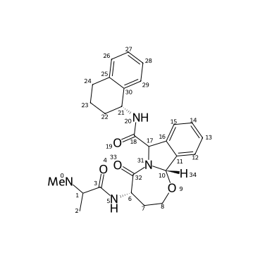 CNC(C)C(=O)N[C@H]1CCO[C@H]2c3ccccc3C(C(=O)N[C@@H]3CCCc4ccccc43)N2C1=O